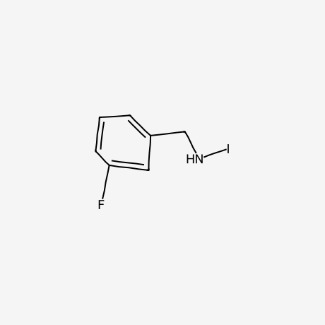 Fc1cccc(CNI)c1